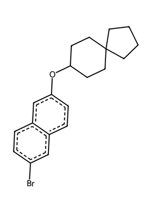 Brc1ccc2cc(OC3CCC4(CCCC4)CC3)ccc2c1